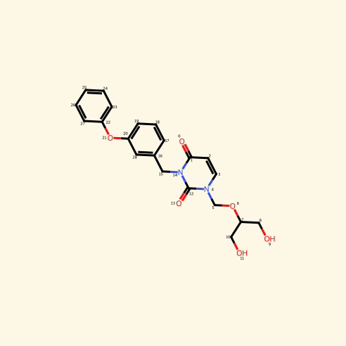 O=c1ccn(COC(CO)CO)c(=O)n1Cc1cccc(Oc2ccccc2)c1